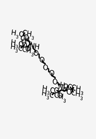 CC(C)(C)OC(=O)CC(NCCOCCOCCOCCOCCOCCNC(CC(=O)OC(C)(C)C)C(=O)OC(C)(C)C)C(=O)OC(C)(C)C